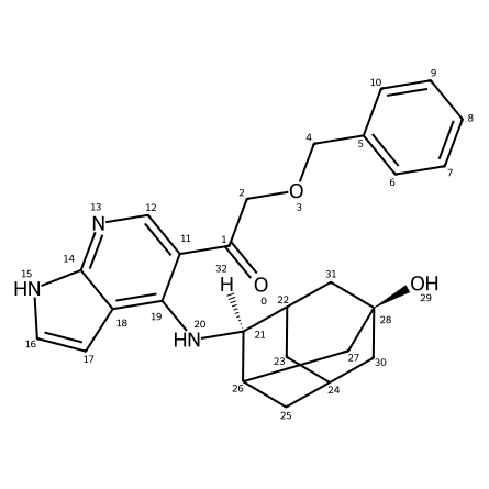 O=C(COCc1ccccc1)c1cnc2[nH]ccc2c1N[C@H]1C2CC3CC1C[C@@](O)(C3)C2